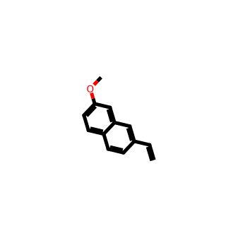 C=Cc1ccc2ccc(OC)cc2c1